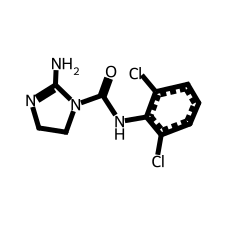 NC1=NCCN1C(=O)Nc1c(Cl)cccc1Cl